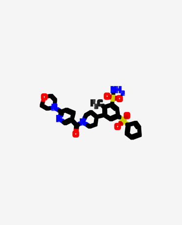 NS(=O)(=O)c1cc(S(=O)(=O)c2ccccc2)cc(C2CCN(C(=O)c3ccc(N4CCOCC4)nc3)CC2)c1C(F)(F)F